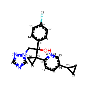 OC(Cn1cncn1)(c1ccc(F)cc1)C1(c2ccc(C3CC3)cn2)CC1